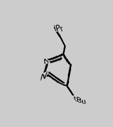 CC(C)C1=NN=C(C(C)(C)C)C1